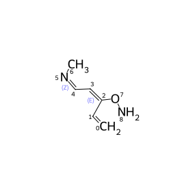 C=C/C(=C\C=N/C)ON